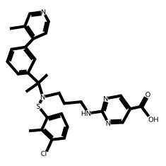 Cc1cnccc1-c1cccc(C(C)(C)N(CCCNc2ncc(C(=O)O)cn2)Sc2cccc(Cl)c2C)c1